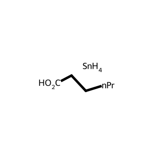 CCCCCC(=O)O.[SnH4]